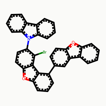 Brc1c(-n2c3ccccc3c3ccccc32)ccc2oc3cccc(-c4ccc5oc6ccccc6c5c4)c3c12